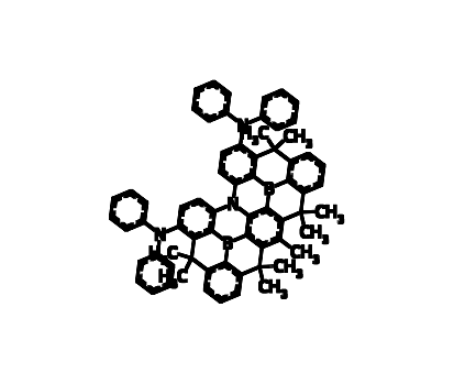 Cc1c2c3c4c5c1C(C)(C)c1cccc6c1B5c1c(ccc(N(c5ccccc5)c5ccccc5)c1C6(C)C)N4c1ccc(N(c4ccccc4)c4ccccc4)c4c1B3c1c(cccc1C2(C)C)C4(C)C